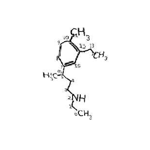 CCNCC[C@@H](C)c1ccc(C)c(CC)c1